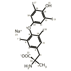 C[C@](N)(Cc1cc(I)c(Oc2cc(I)c(O)c(I)c2)c(I)c1)C(=O)[O-].[Na+]